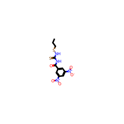 CCCSNC(=S)NC(=O)c1cc([N+](=O)[O-])cc([N+](=O)[O-])c1